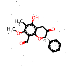 COc1c(C)c(O)c2c(c1C=O)O[C@@H](c1ccccc1)C(=O)C2